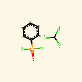 ClC(Cl)Cl.O=P(Cl)(Cl)c1ccccc1